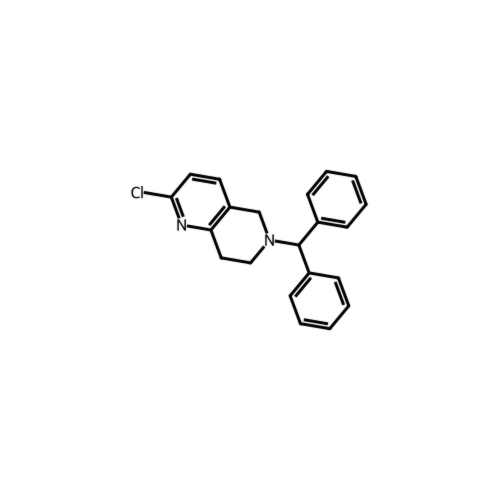 Clc1ccc2c(n1)CCN(C(c1ccccc1)c1ccccc1)C2